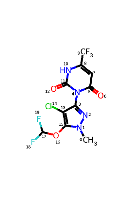 Cn1nc(-n2c(=O)cc(C(F)(F)F)[nH]c2=O)c(Cl)c1OC(F)F